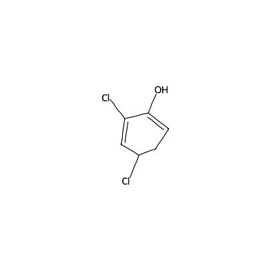 OC1=CCC(Cl)C=C1Cl